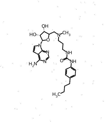 CCCCc1ccc(NC(=O)NCCCN(C)CC2O[C@@H](n3ccc4c(N)ncnc43)[C@H](O)[C@@H]2O)cc1